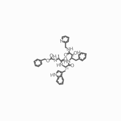 C[C@H](NC(=O)OCc1ccccc1)C(=O)N[C@@H](Cc1c[nH]c2ccccc12)C(=O)NC(Cc1ccccc1)[C@H](O)C(=O)NCc1ccccn1